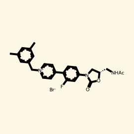 CC(=O)NC[C@H]1CN(c2ccc(-c3cc[n+](Cc4cc(C)cc(C)c4)cc3)c(F)c2)C(=O)O1.[Br-]